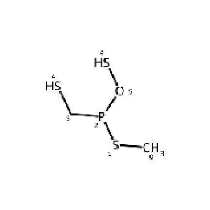 CSP(CS)OS